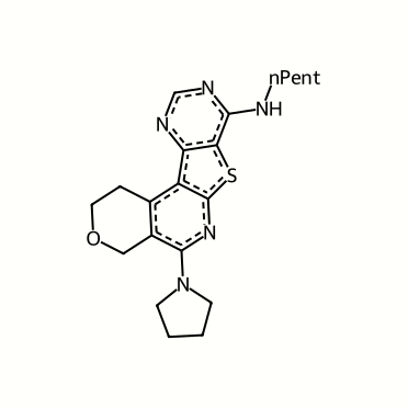 CCCCCNc1ncnc2c1sc1nc(N3CCCC3)c3c(c12)CCOC3